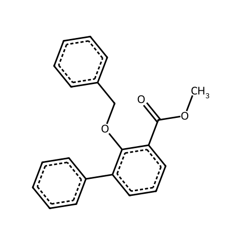 COC(=O)c1cccc(-c2ccccc2)c1OCc1ccccc1